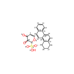 O=C1C=COC(S(=O)(=O)O)C1=O.c1ccc2c(c1)ccc1c3c(ccc12)CCCC3